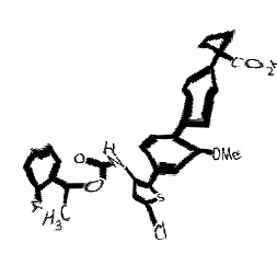 COc1cc(-c2sc(Cl)cc2NC(=O)OC(C)c2ccccc2F)ccc1-c1ccc(C2(C(=O)O)CC2)cc1